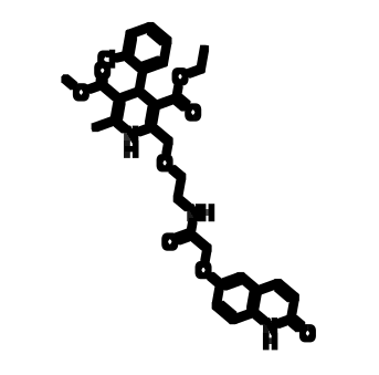 CCOC(=O)C1=C(COCCNC(=O)COc2ccc3[nH]c(=O)ccc3c2)NC(C)=C(C(=O)OC)C1c1ccccc1Cl